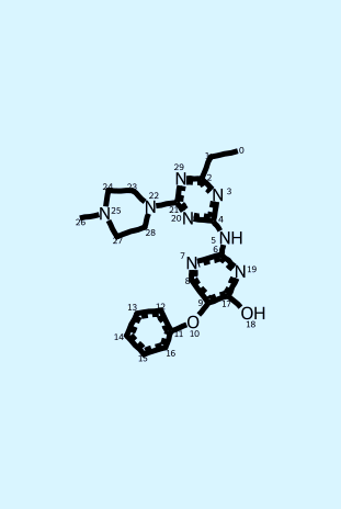 CCc1nc(Nc2ncc(Oc3ccccc3)c(O)n2)nc(N2CCN(C)CC2)n1